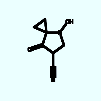 N#CC1CN(O)C2(CC2)C1=O